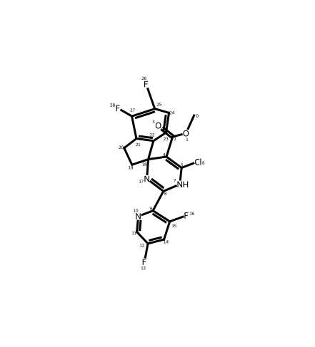 COC(=O)C1=C(Cl)NC(c2ncc(F)cc2F)=NC12CCc1c2ccc(F)c1F